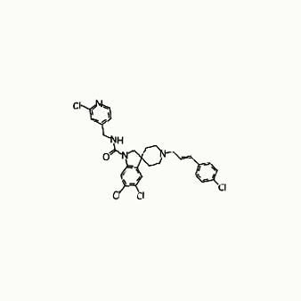 O=C(NCc1ccnc(Cl)c1)N1CC2(CCN(CC=Cc3ccc(Cl)cc3)CC2)c2cc(Cl)c(Cl)cc21